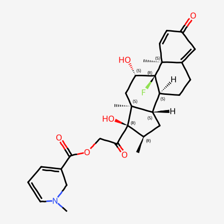 C[C@@H]1C[C@H]2[C@@H]3CCC4=CC(=O)C=C[C@]4(C)[C@@]3(F)[C@@H](O)C[C@]2(C)[C@@]1(O)C(=O)COC(=O)C1=CC=CN(C)C1